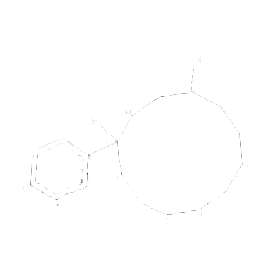 OC1CCCCCCCCC(Br)(c2ccccc2)CC1